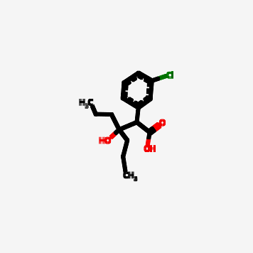 CCCC(O)(CCC)C(C(=O)O)c1cccc(Cl)c1